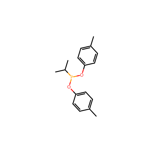 Cc1ccc(OP(Oc2ccc(C)cc2)C(C)C)cc1